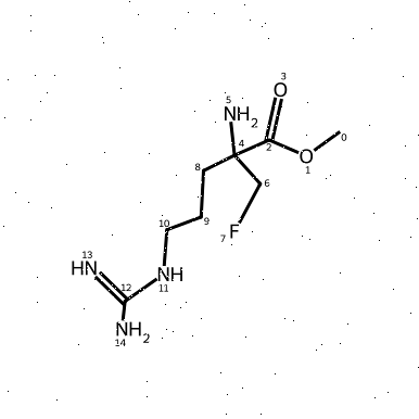 COC(=O)C(N)(CF)CCCNC(=N)N